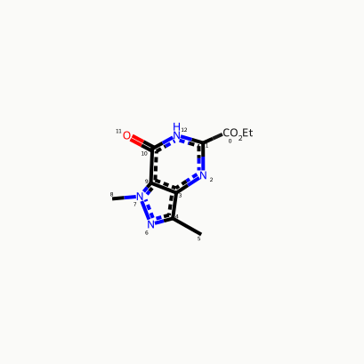 CCOC(=O)c1nc2c(C)nn(C)c2c(=O)[nH]1